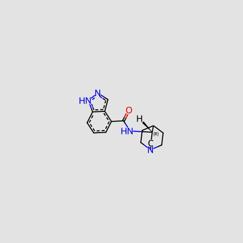 O=C(N[C@H]1CN2CCC1CC2)c1cccc2[nH]ncc12